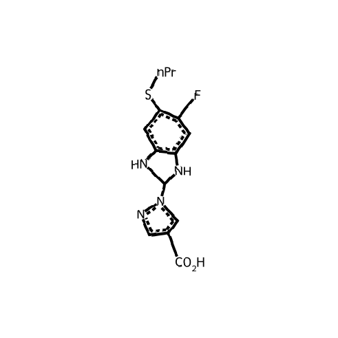 CCCSc1cc2c(cc1F)NC(n1cc(C(=O)O)cn1)N2